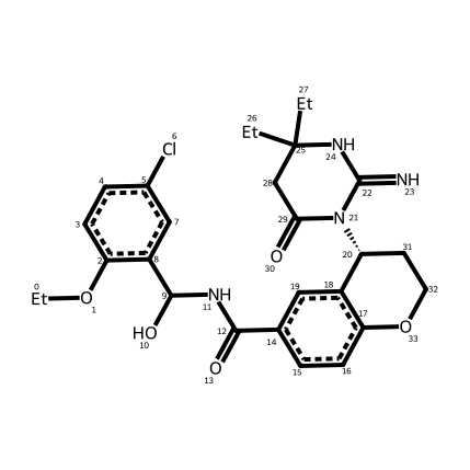 CCOc1ccc(Cl)cc1C(O)NC(=O)c1ccc2c(c1)[C@H](N1C(=N)NC(CC)(CC)CC1=O)CCO2